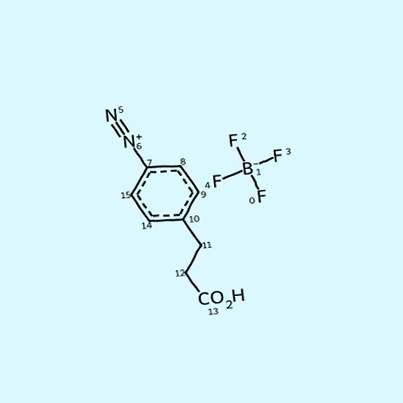 F[B-](F)(F)F.N#[N+]c1ccc(CCC(=O)O)cc1